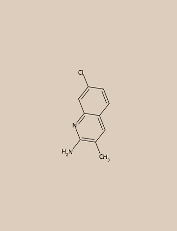 Cc1cc2ccc(Cl)cc2nc1N